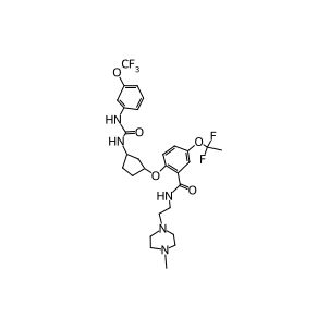 CN1CCN(CCNC(=O)c2cc(OC(C)(F)F)ccc2OC2CCC(NC(=O)Nc3cccc(OC(F)(F)F)c3)C2)CC1